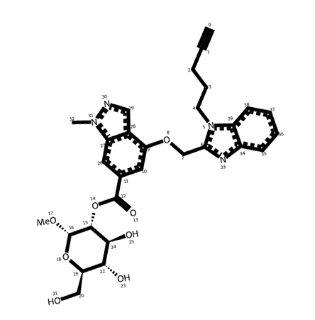 C#CCCCn1c(COc2cc(C(=O)O[C@H]3[C@@H](OC)O[C@H](CO)[C@@H](O)[C@@H]3O)cc3c2cnn3C)nc2ccccc21